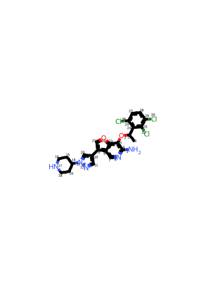 CC(Oc1c(N)ncc2c(-c3cnn(C4CCNCC4)c3)coc12)c1c(Cl)ccc(Cl)c1Cl